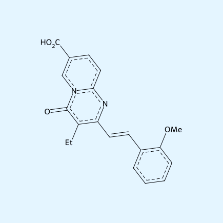 CCc1c(C=Cc2ccccc2OC)nc2ccc(C(=O)O)cn2c1=O